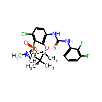 CN(C)S(=O)(=O)c1c(Cl)ccc(NC(=S)Nc2cccc(F)c2F)c1O[Si](C)(C)C(C)(C)C